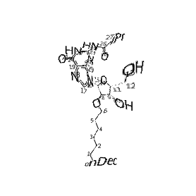 CCCCCCCCCCCCCCCCO[C@@H]1[C@@H](O)[C@@H](CO)O[C@H]1n1cnc2c(=O)[nH]c(NC(=O)C(C)C)nc21